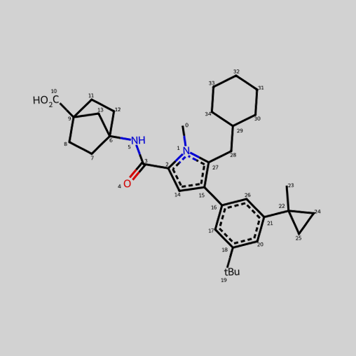 Cn1c(C(=O)NC23CCC(C(=O)O)(CC2)C3)cc(-c2cc(C(C)(C)C)cc(C3(C)CC3)c2)c1CC1CCCCC1